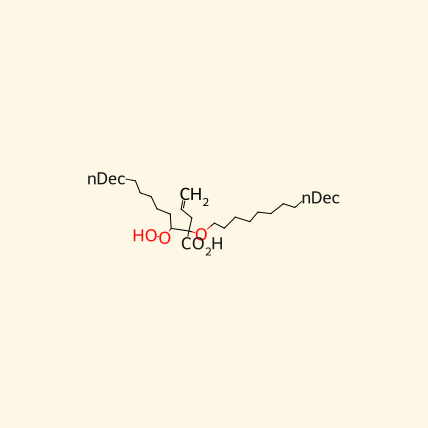 C=CCC(OCCCCCCCCCCCCCCCCCC)(C(=O)O)C(CCCCCCCCCCCCCCC)OO